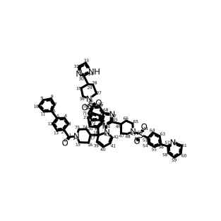 O=C(c1ccc(-c2ccccc2)cc1)N1CCC(C2(c3ccc(S(=O)(=O)N4CCC(c5ncc[nH]5)CC4)cc3)C=CC=CN2n2c(C3CCN(S(=O)(=O)c4ccc(-c5ccccn5)cc4)CC3)nc3ccccc32)CC1